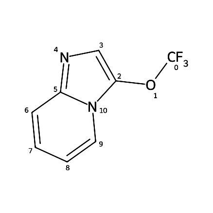 FC(F)(F)Oc1cnc2ccccn12